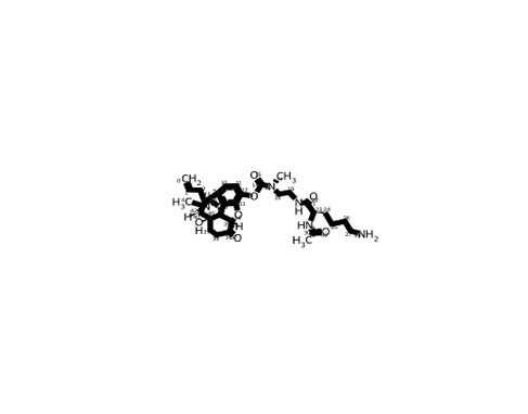 C=CC[N+]1(C)CC[C@]23c4c5ccc(OC(=O)N(C)CCNC(=O)[C@H](CCCCN)NC(C)=O)c4O[C@H]2C(=O)CC[C@@]3(O)[C@H]1C5